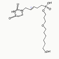 CCCCCCCCCCCCCCCCOCCCOP(=O)(O)CC/C=C/Cn1ccc(=O)[nH]c1=O